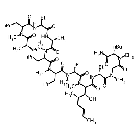 C/C=C/C[C@@H](C)[C@H](O)C(C(=O)N[C@H](CC)C(=O)N(C)CC(=O)N(C)[C@@H](CCCC)C(N)=O)N(C)C(=O)[C@H](C(C)C)N(C)C(=O)[C@@H](CC(C)C)N(C)C(=O)[C@@H](CC(C)C)N(C)C(=O)[C@H](C)NC(=O)C(CC)NC(=O)[C@H](CC(C)C)N(C)C(=O)[C@H](C)C(C)C